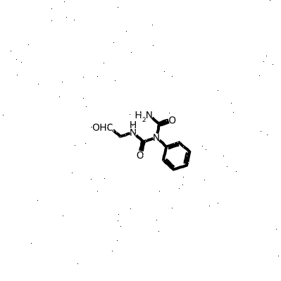 NC(=O)N(C(=O)NC[C]=O)c1ccccc1